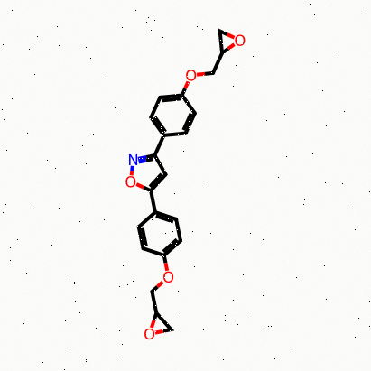 c1cc(-c2cc(-c3ccc(OCC4CO4)cc3)on2)ccc1OCC1CO1